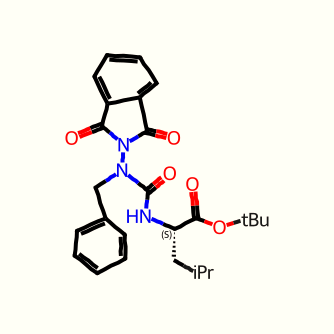 CC(C)C[C@H](NC(=O)N(Cc1ccccc1)N1C(=O)c2ccccc2C1=O)C(=O)OC(C)(C)C